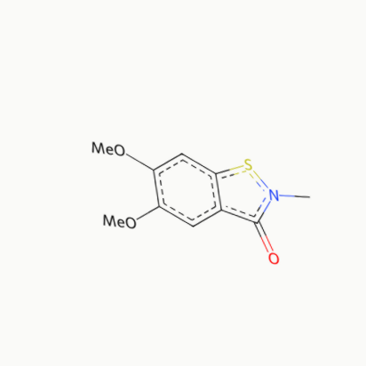 COc1cc2sn(C)c(=O)c2cc1OC